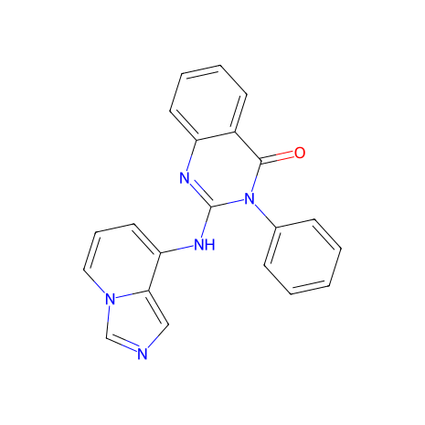 O=c1c2ccccc2nc(Nc2cccn3cncc23)n1-c1ccccc1